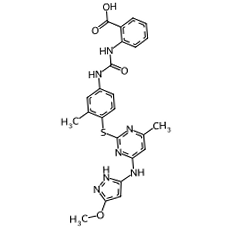 COc1cc(Nc2cc(C)nc(Sc3ccc(NC(=O)Nc4ccccc4C(=O)O)cc3C)n2)[nH]n1